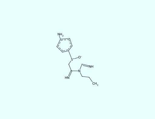 CCCN(C=N)C(=N)C[S+]([O-])c1ccc(N)cc1